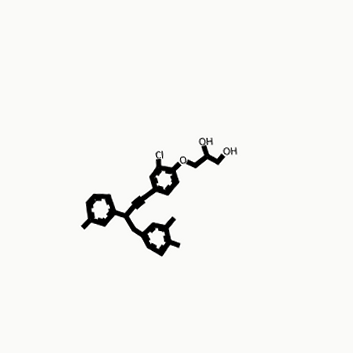 Cc1cccc(C(C#Cc2ccc(OCC(O)CO)c(Cl)c2)Cc2ccc(C)c(C)c2)c1